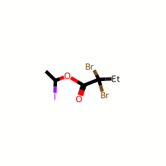 CCC(Br)(Br)C(=O)OC(C)I